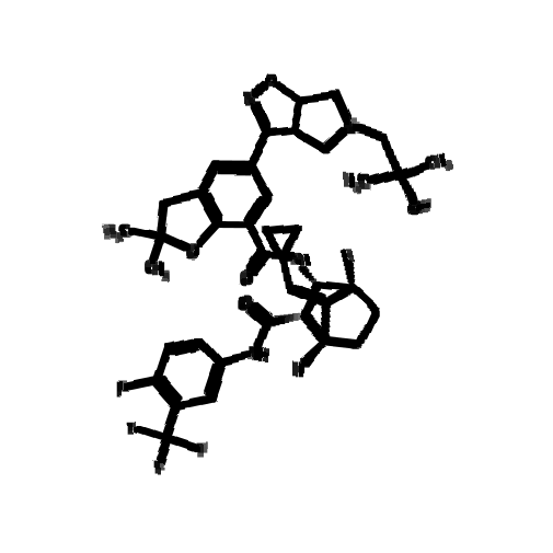 CC(C)(O)CN1CC2ON=C(c3cc4c(c(C(=O)N[C@H]5[C@@H](C(=O)Nc6ccc(F)c(C(F)(F)F)c6)[C@H]6CC[C@@H]5/C6=C\C5CC5)c3)OC(C)(C)C4)C2C1